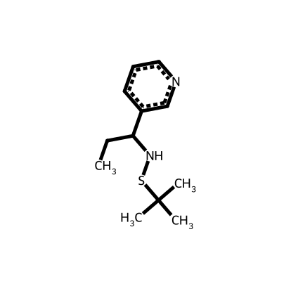 CCC(NSC(C)(C)C)c1cccnc1